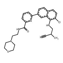 CC(C#N)CNc1c(Cl)ccc2ccc(-c3cccc(C(=O)NCCN4CCOCC4)n3)cc12